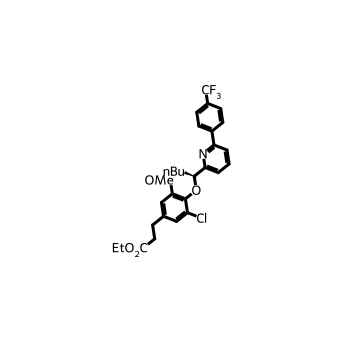 CCCC[C@H](Oc1c(Cl)cc(CCC(=O)OCC)cc1OC)c1cccc(-c2ccc(C(F)(F)F)cc2)n1